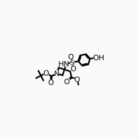 COC(=O)CC1(NS(=O)(=O)c2ccc(O)cc2)CN(C(=O)OC(C)(C)C)C1